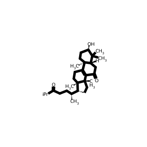 CC(C)C(=O)CC[C@@H](C)[C@H]1CC[C@@]2(C)C3=C(CC[C@]12C)[C@@]1(C)CC[C@H](O)C(C)(C)[C@@H]1CC3=O